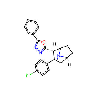 CN1[C@H]2CC[C@@H]1[C@@H](c1nnc(-c3ccccc3)o1)C(c1ccc(Cl)cc1)C2